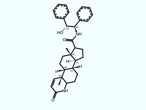 C[C@]12C=CC(=O)NC1CC[C@@H]1[C@H]2CC[C@]2(C)C(C(=O)N[C@H](c3ccccc3)[C@H](O)c3ccccc3)CC[C@@H]12